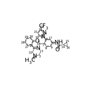 CN1CCN(C(=O)c2ccc(NC(=O)C3CC3)cc2-n2ccc(C(F)(F)F)n2)C(c2ccccc2)C1